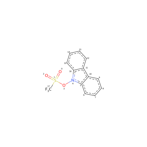 O=S(=O)(On1c2ccccc2c2ccccc21)C(F)(F)F